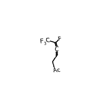 CC(=O)CC=C=C(F)C(F)(F)F